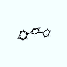 c1cc(-c2csc(C3CCNC3)n2)ccn1